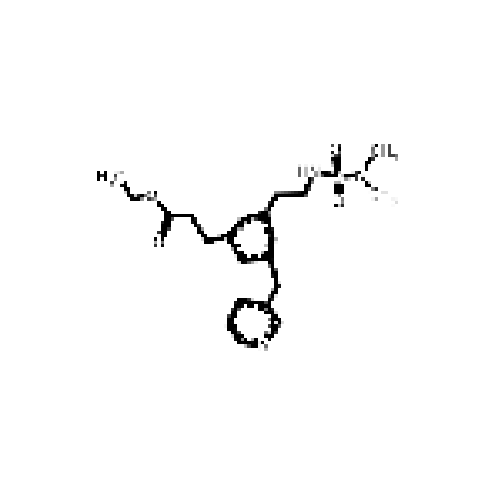 CCOC(=O)CCc1cc(CCNS(=O)(=O)N(C)C)cc(Cc2cccnc2)c1